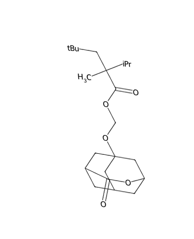 CC(C)C(C)(CC(C)(C)C)C(=O)OCOC12CC3CC(C1)OC(=O)C(C3)C2